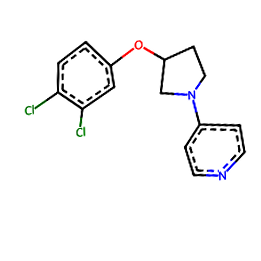 Clc1ccc(OC2CCN(c3ccncc3)C2)cc1Cl